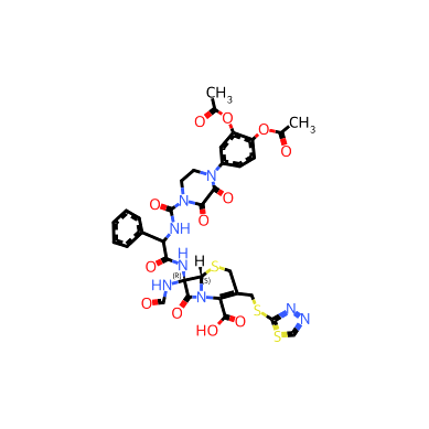 CC(=O)Oc1ccc(N2CCN(C(=O)NC(C(=O)N[C@]3(NC=O)C(=O)N4C(C(=O)O)=C(CSc5nncs5)CS[C@H]43)c3ccccc3)C(=O)C2=O)cc1OC(C)=O